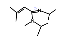 CC(C)=C/C(=N/C(C)C)N(C)C(C)C